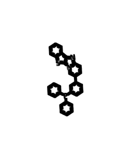 c1ccc(P(c2ccccc2)c2cccc(-c3ccc4nc5c6ccccc6sc5n4c3)c2)cc1